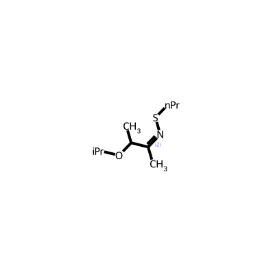 CCCS/N=C(/C)C(C)OC(C)C